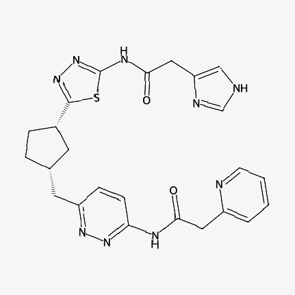 O=C(Cc1ccccn1)Nc1ccc(C[C@@H]2CC[C@H](c3nnc(NC(=O)Cc4c[nH]cn4)s3)C2)nn1